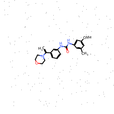 C=C(c1cccc(NC(=O)Nc2cc(C)cc(OC)c2)c1)N1CCOCC1